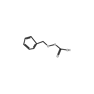 O=C(O)SOCc1ccccc1